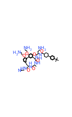 CC1NC(=O)C(N(C)C(=O)C(CCN)NC(=O)C2CCC(c3ccc(C(C)(C)C)cc3)CC2)c2ccc(OCCN)c(c2)-c2cc(ccc2OCCN)CC(C(=O)NCC#N)NC1=O